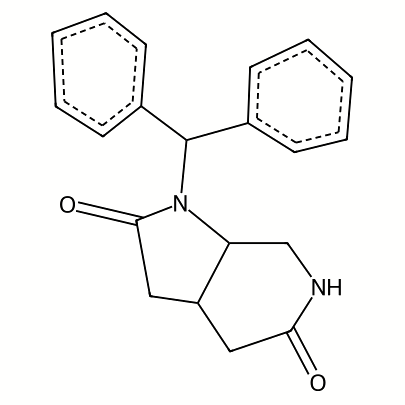 O=C1CC2CC(=O)N(C(c3ccccc3)c3ccccc3)C2CN1